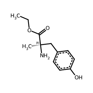 CCOC(=O)[C@](C)(N)Cc1ccc(O)cc1